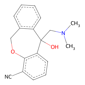 CN(C)CC1(O)c2ccccc2COc2c(C#N)cccc21